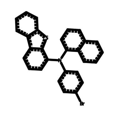 Brc1ccc(N(c2cccc3ccccc23)c2cccc3c2sc2ccccc23)cc1